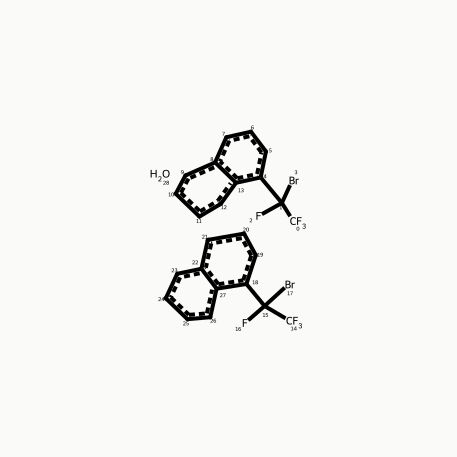 FC(F)(F)C(F)(Br)c1cccc2ccccc12.FC(F)(F)C(F)(Br)c1cccc2ccccc12.O